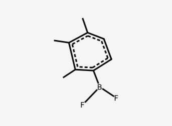 Cc1ccc(B(F)F)c(C)c1C